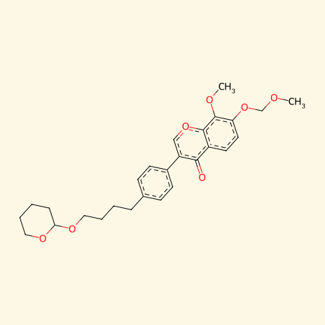 COCOc1ccc2c(=O)c(-c3ccc(CCCCOC4CCCCO4)cc3)coc2c1OC